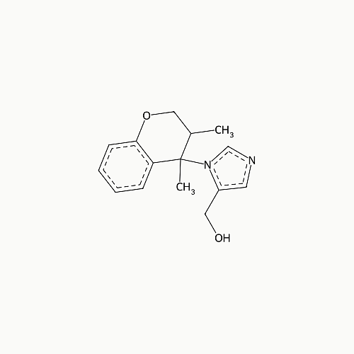 CC1COc2ccccc2C1(C)n1cncc1CO